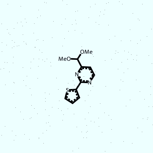 COC(OC)c1ccnc(-c2cccs2)n1